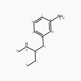 CCC(Cc1cccc(N)c1)NC